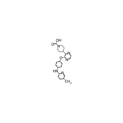 Cc1ccc(Nc2ccc(Oc3nccnc3C3CCN(C(=O)O)CC3)cc2)nc1